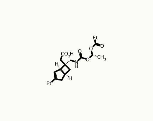 CCC(=O)O[C@H](C)OC(=O)NC[C@]1(CC(=O)O)C[C@H]2CC(CC)=C[C@H]21